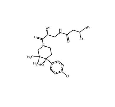 CCCC(CC)CC(=O)NC[C@@H](C(=O)N1CC[C@](O)(c2ccc(Cl)cc2)C(C)(C)C1)C(C)C